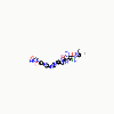 Cc1cccc(NC(=O)c2ccc(-c3nn4c(c3C(N)=O)Nc3ccc(N5CCN(CC6CCN(c7ccc(N8CCC(=O)NC8=O)cc7)CC6)CC5)cc3CC4)cc2Cl)n1